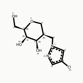 OC[C@H]1OC[C@@H](Cn2cc(Cl)cn2)[C@@H](O)[C@H]1O